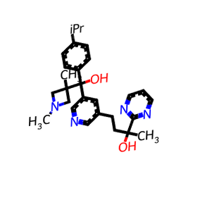 CC(C)c1ccc(C(O)(c2cncc(CCC(C)(O)c3ncccn3)c2)C2(C)CN(C)C2)cc1